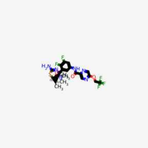 C[C@H]1C2[C@@]1(C(=O)N(C)C)SC(N)=N[C@]2(C)c1cc(NC(=O)c2cnc(OCC(F)(F)F)cn2)cc(F)c1F